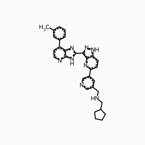 Cc1cccc(-c2ccnc3[nH]c(-c4n[nH]c5ccc(-c6cncc(CNCC7CCCC7)c6)nc45)nc23)c1